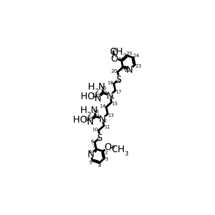 COc1cccnc1CSCCN(CCCN(CCSCc1ncccc1OC)C(N)=NO)C(N)=NO